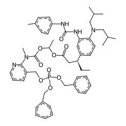 CC[C@@H](CC(=O)OC(C)OC(=O)N(C)c1ncccc1COP(=O)(OCc1ccccc1)OCc1ccccc1)c1ccc(N(CC(C)C)CC(C)C)c(NC(=O)Nc2ccc(C)cc2)c1